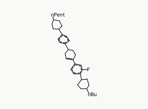 CCCCCC1CCC(c2ccc(C3CC=C(c4ccc(C5CCC(CCCC)CC5)c(F)c4)CC3)cc2)CC1